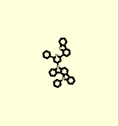 c1ccc(-c2cc(-n3c4ccccc4c4c3ccc3c5ccccc5n(-c5ccccc5)c34)cc(-c3cccc4c3sc3ccccc34)n2)cc1